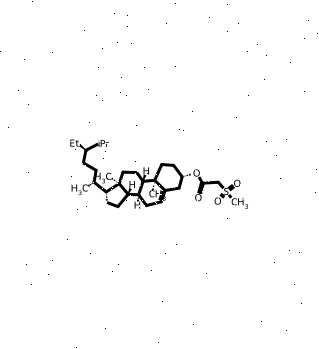 CC[C@H](CC[C@@H](C)[C@H]1CC[C@H]2[C@@H]3CC=C4C[C@@H](OC(=O)CS(C)(=O)=O)CC[C@]4(C)[C@H]3CC[C@]12C)C(C)C